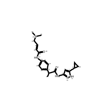 CC(C(=O)Nc1cc(C2CC2)[nH]n1)c1ccc(NC(=O)C=CCN(C)C)cc1